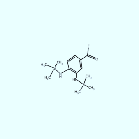 C[Si](C)(C)Nc1ccc(C(=O)F)cc1N[Si](C)(C)C